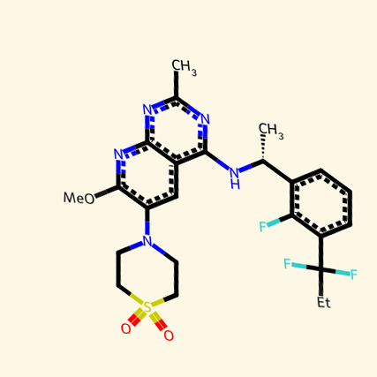 CCC(F)(F)c1cccc([C@@H](C)Nc2nc(C)nc3nc(OC)c(N4CCS(=O)(=O)CC4)cc23)c1F